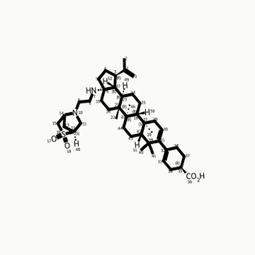 C=C(C)[C@@H]1CC[C@]2(NCCN3C[C@@H]4CC3CS4(=O)=O)CC[C@]3(C)[C@H](CC[C@@H]4[C@@]5(C)CC=C(C6=CC[C@H](C(=O)O)CC6)C(C)(C)[C@@H]5CC[C@]43C)[C@@H]12